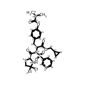 CCC1(CC)CS[C@@H](C(=O)N([C@@H](Cc2ccc(OC(=O)N(C)C)cc2)C(=O)OCC2CC2)S(=O)(=O)c2cccnc2)N1